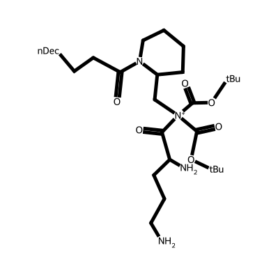 CCCCCCCCCCCCC(=O)N1CCCCC1C[N+](C(=O)OC(C)(C)C)(C(=O)OC(C)(C)C)C(=O)C(N)CCCN